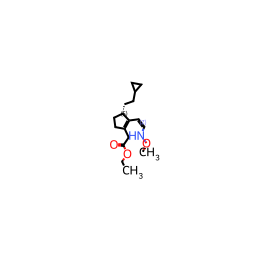 CCOC(=O)CC1=C(/C=C\NOC)[C@@H](CCC2CC2)CC1